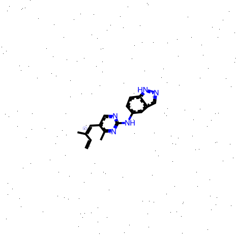 C=C/C(C)=C\c1cnc(Nc2ccc3[nH]ncc3c2)nc1C